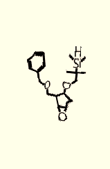 C[SiH](C)C(C)(C)COC1CC2OC2C1COCc1ccccc1